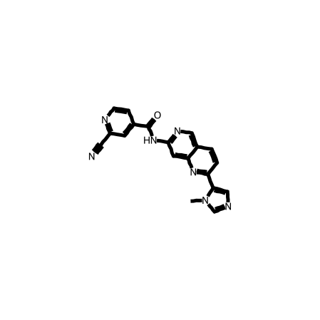 Cn1cncc1-c1ccc2cnc(NC(=O)c3ccnc(C#N)c3)cc2n1